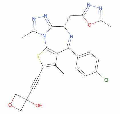 Cc1nnc(C[C@@H]2N=C(c3ccc(Cl)cc3)c3c(sc(C#CC4(O)COC4)c3C)-n3c(C)nnc32)o1